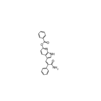 NC(=O)C(=Cc1c[nH]c2nc(OC(=O)c3ccccc3)ccc12)c1ccccc1